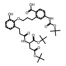 CC(C)(C)OC(=O)CC(NC(=O)CCc1cccc(O)c1OCCCc1cc(NC(=O)OC(C)(C)C)ccc1C(=O)O)C(=O)OC(C)(C)C